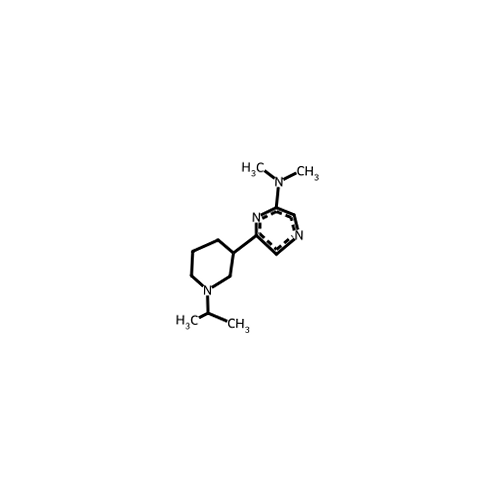 CC(C)N1CCCC(c2cncc(N(C)C)n2)C1